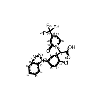 O=C(O)C(c1cc(-n2nnc3ccccc32)ccc1Cl)n1ccc(C(F)(F)F)cc1=O